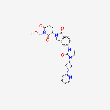 O=C1CCC(N2Cc3cc(N4CCN(C5CN(c6ccccn6)C5)C4=O)ccc3C2=O)C(=O)N1CO